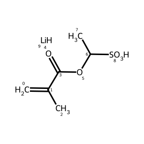 C=C(C)C(=O)OC(C)S(=O)(=O)O.[LiH]